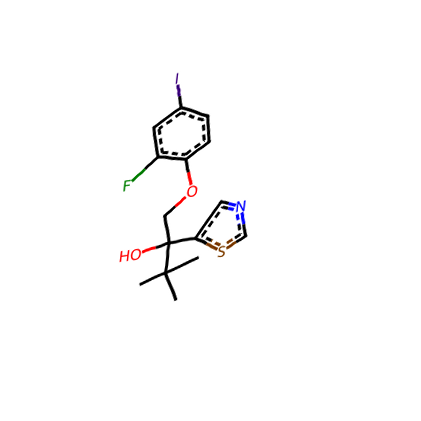 CC(C)(C)C(O)(COc1ccc(I)cc1F)c1cncs1